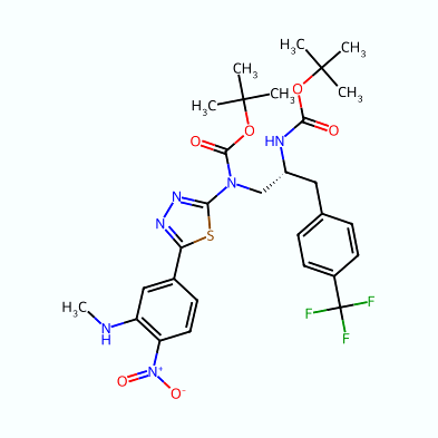 CNc1cc(-c2nnc(N(C[C@@H](Cc3ccc(C(F)(F)F)cc3)NC(=O)OC(C)(C)C)C(=O)OC(C)(C)C)s2)ccc1[N+](=O)[O-]